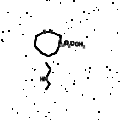 C1CCCSSCCC1.CCNCC.O.O.O